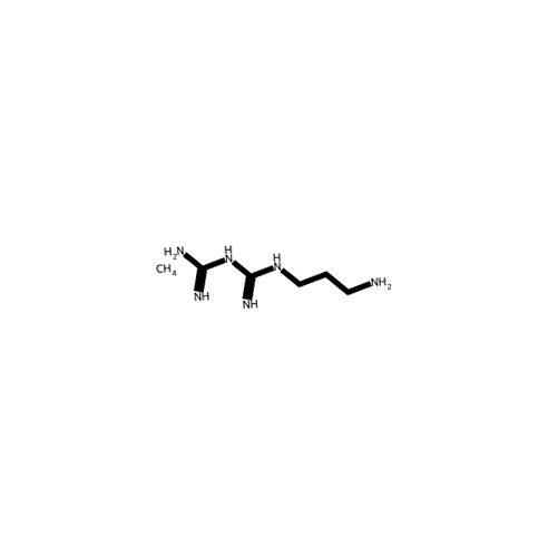 C.N=C(N)NC(=N)NCCCN